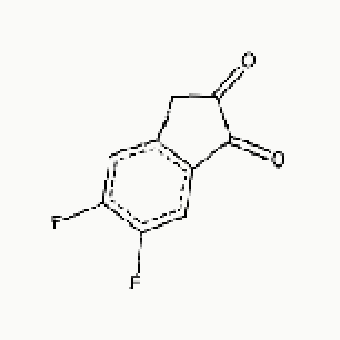 O=C1Cc2cc(F)c(F)cc2C1=O